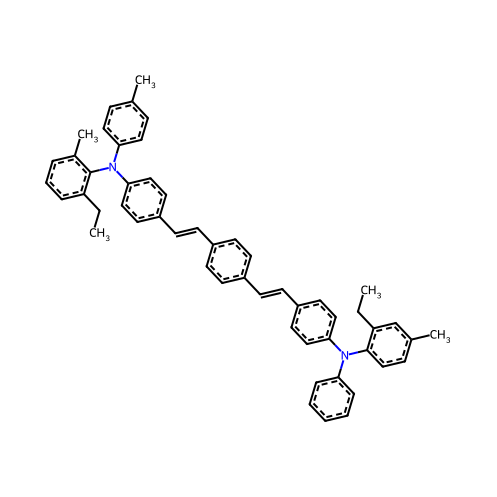 CCc1cc(C)ccc1N(c1ccccc1)c1ccc(/C=C/c2ccc(/C=C/c3ccc(N(c4ccc(C)cc4)c4c(C)cccc4CC)cc3)cc2)cc1